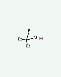 CC[C](CC)(CC)[Mg][I]